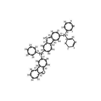 C1=CCCC(N(c2ccccc2)c2ccc3sc4cc(N(c5ccccc5)c5ccc6oc7ccccc7c6c5)ccc4c3c2)=C1